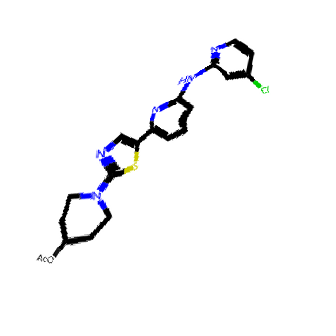 CC(=O)OC1CCN(c2ncc(-c3cccc(Nc4cc(Cl)ccn4)n3)s2)CC1